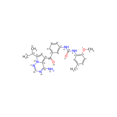 COc1ccc(C)cc1NC(=O)Nc1cccc(C(=O)c2cc(C(C)C)n3ncnc(N)c23)c1